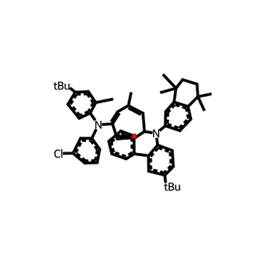 CC1=CC(N(c2ccc3c(c2)C(C)(C)CCC3(C)C)c2ccc(C(C)(C)C)cc2-c2ccccc2)C=CC(N(c2cccc(Cl)c2)c2ccc(C(C)(C)C)cc2C)=C1